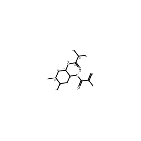 C=C(C)C(=O)OC1CC(C)[C@@H](C)CC1OC(=O)C(C)C